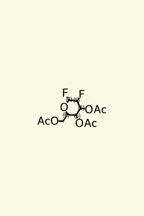 CC(=O)OC[C@H]1O[C@H](F)[C@@H](F)[C@@H](OC(C)=O)[C@H]1OC(C)=O